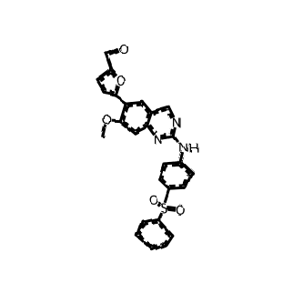 COc1cc2nc(Nc3ccc(S(=O)(=O)c4ccccc4)cc3)ncc2cc1-c1ccc(C=O)o1